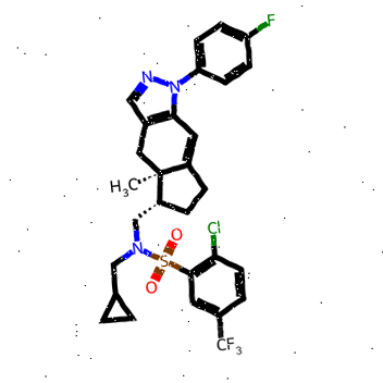 C[C@]12Cc3cnn(-c4ccc(F)cc4)c3C=C1CC[C@@H]2CN(CC1CC1)S(=O)(=O)c1cc(C(F)(F)F)ccc1Cl